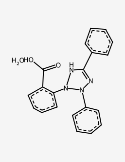 O.O=C(O)c1ccccc1N1NC(c2ccccc2)=NN1c1ccccc1